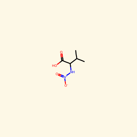 CC(C)C(N[N+](=O)[O-])C(=O)O